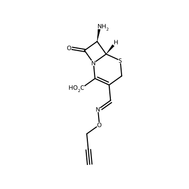 C#CCON=CC1=C(C(=O)O)N2C(=O)[C@@H](N)[C@@H]2SC1